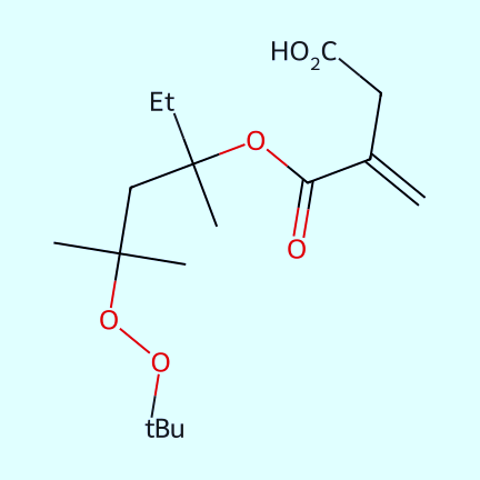 C=C(CC(=O)O)C(=O)OC(C)(CC)CC(C)(C)OOC(C)(C)C